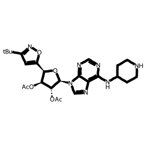 CC(=O)O[C@@H]1[C@@H](OC(C)=O)[C@H](n2cnc3c(NC4CCNCC4)ncnc32)O[C@@H]1c1cc(C(C)(C)C)no1